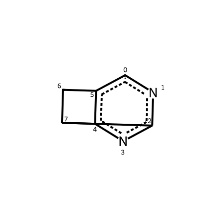 [c]1nc2nc3c1CC23